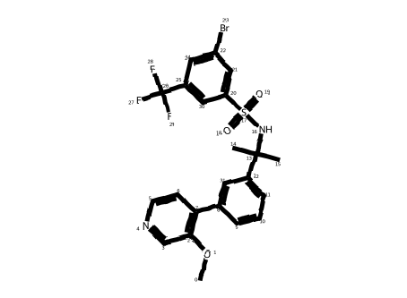 COc1cnccc1-c1cccc(C(C)(C)NS(=O)(=O)c2cc(Br)cc(C(F)(F)F)c2)c1